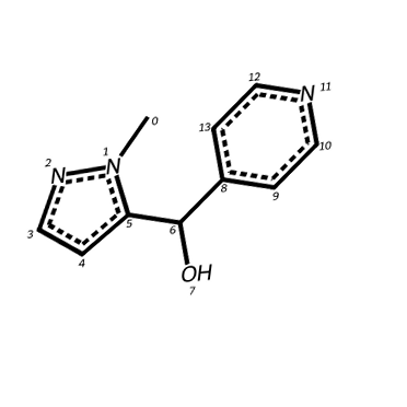 Cn1nccc1C(O)c1ccncc1